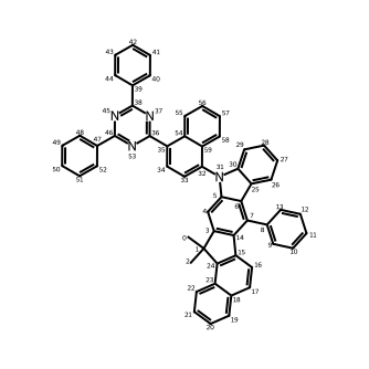 CC1(C)c2cc3c(c(-c4ccccc4)c2-c2ccc4ccccc4c21)c1ccccc1n3-c1ccc(-c2nc(-c3ccccc3)nc(-c3ccccc3)n2)c2ccccc12